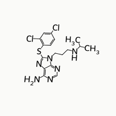 CC(C)NCCCn1c(Sc2ccc(Cl)cc2Cl)nc2c(N)ncnc21